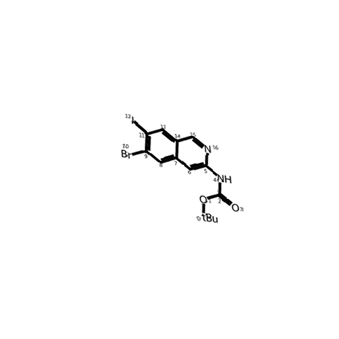 CC(C)(C)OC(=O)Nc1cc2cc(Br)c(I)cc2cn1